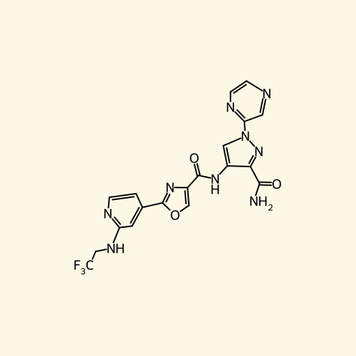 NC(=O)c1nn(-c2cnccn2)cc1NC(=O)c1coc(-c2ccnc(NCC(F)(F)F)c2)n1